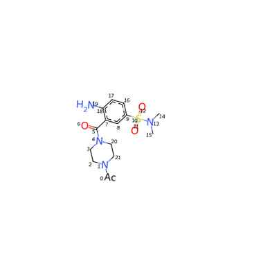 CC(=O)N1CCN(C(=O)c2cc(S(=O)(=O)N(C)C)ccc2N)CC1